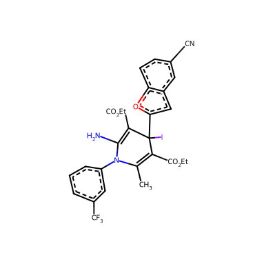 CCOC(=O)C1=C(C)N(c2cccc(C(F)(F)F)c2)C(N)=C(C(=O)OCC)C1(I)c1cc2cc(C#N)ccc2o1